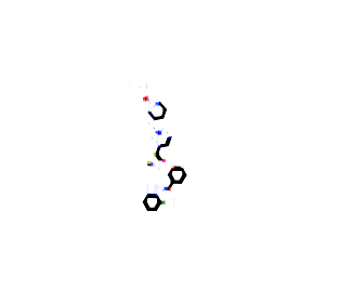 Cc1ccc(C(=O)Nc2ccccc2Cl)cc1Oc1ncsc1-c1ccnc(N[C@H]2CCCN(C(=O)OC(C)(C)C)C2)n1